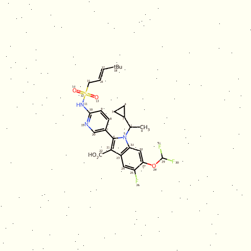 CC(C1CC1)n1c(-c2ccc(NS(=O)(=O)CC=CC(C)(C)C)nc2)c(C(=O)O)c2cc(F)c(OC(F)F)cc21